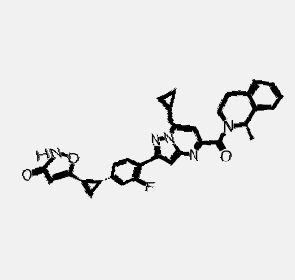 C[C@@H]1c2ccccc2CCN1C(=O)c1cc(C2CC2)n2nc(-c3ccc([C@@H]4C[C@H]4c4cc(=O)[nH]o4)cc3F)cc2n1